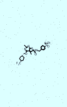 CCS(=O)(=O)c1ccc(CNC(=O)c2sc3nc(C)nc(OC[C@H]4CC[C@H](C(F)(F)F)CC4)c3c2C)cc1